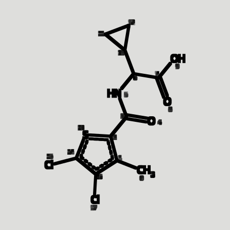 Cc1c(C(=O)NC(C(=O)O)C2CC2)sc(Cl)c1Cl